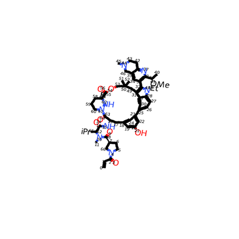 C=CC(=O)N1CC[C@H](C(=O)N(C)C(C(=O)N[C@H]2Cc3cc(O)cc(c3)-c3ccc4c(c3)c(c(-c3cc5c(nc3[C@H](C)OC)CCN(C)C5)n4CC)CC(C)(C)COC(=O)[C@@H]3CCCN(N3)C2=O)C(C)C)C1